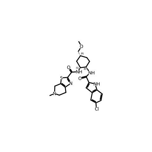 COC[C@@H]1CC[C@@H](NC(=O)c2cc3cc(Cl)ccc3[nH]2)[C@@H](NC(=O)c2nc3c(s2)CN(C)CC3)C1